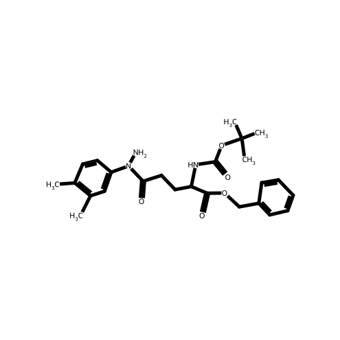 Cc1ccc(N(N)C(=O)CCC(NC(=O)OC(C)(C)C)C(=O)OCc2ccccc2)cc1C